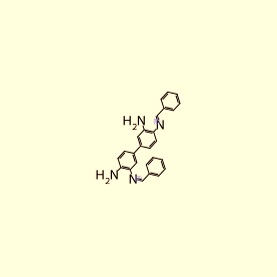 Nc1ccc(-c2ccc(/N=C/c3ccccc3)c(N)c2)cc1/N=C\c1ccccc1